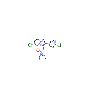 CCN(CC)C(=O)Cc1c(-c2ccc(Cl)nc2)nc2ccc(Cl)cn12